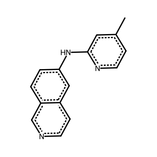 Cc1ccnc(Nc2ccc3cnccc3c2)c1